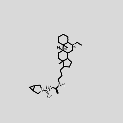 C=C(NCCCC1CCC2C3C[C@H](CC)C4CCCCC4(C)[C@H]3CCC12C)N[S+]([O-])N1CC2CC2C1